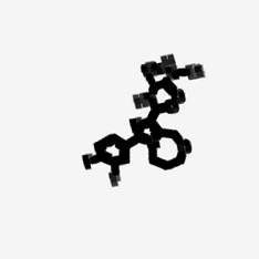 CCNC(=O)[C@@H](NC(=O)c1nc(-c2ccc(F)c(F)c2)n2c1COCCC2)C(C)(C)C